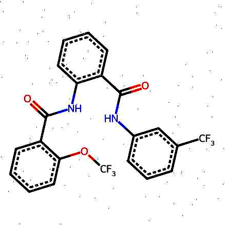 O=C(Nc1cccc(C(F)(F)F)c1)c1ccccc1NC(=O)c1ccccc1OC(F)(F)F